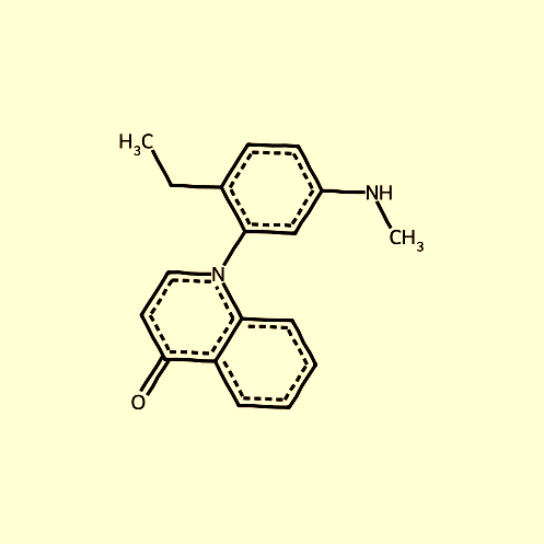 CCc1ccc(NC)cc1-n1ccc(=O)c2ccccc21